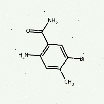 Cc1cc(N)c(C(N)=O)cc1Br